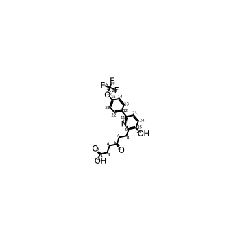 O=C(O)CCC(=O)CCc1nc(-c2ccc(OC(F)(F)F)cc2)ccc1O